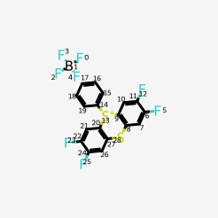 F[B-](F)(F)F.Fc1cc2c(cc1F)[S+](c1ccccc1)c1cc(F)c(F)cc1S2